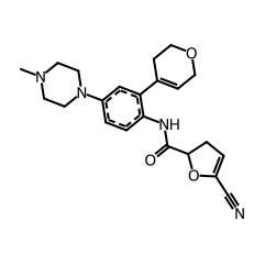 CN1CCN(c2ccc(NC(=O)C3CC=C(C#N)O3)c(C3=CCOCC3)c2)CC1